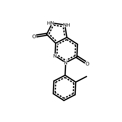 Cc1ccccc1-n1nc2c(=O)[nH][nH]c2cc1=O